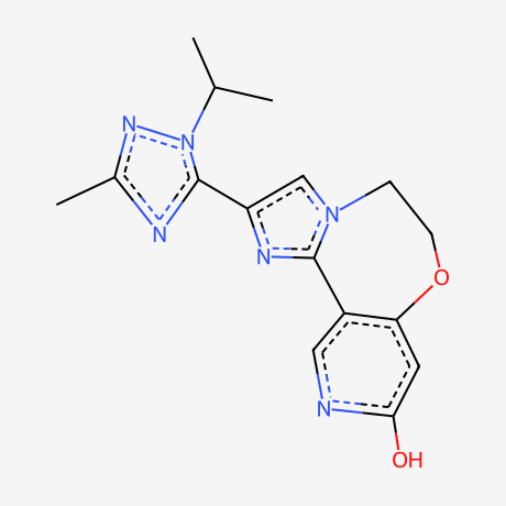 Cc1nc(-c2cn3c(n2)-c2cnc(O)cc2OCC3)n(C(C)C)n1